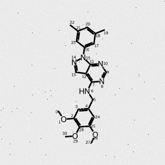 COc1cc(CNc2ncnc3c2cnn3-c2cc(C)cc(C)c2)cc(OC)c1OC